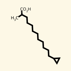 CC(CCCCCCCCCCC1CC1)C(=O)O